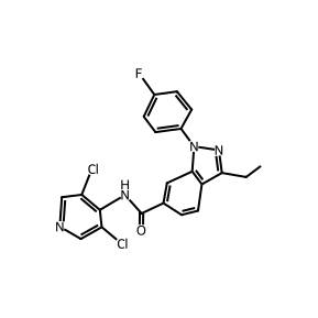 CCc1nn(-c2ccc(F)cc2)c2cc(C(=O)Nc3c(Cl)cncc3Cl)ccc12